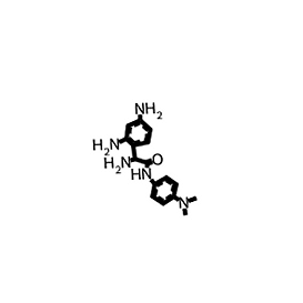 CN(C)c1ccc(NC(=O)C(N)c2ccc(N)cc2N)cc1